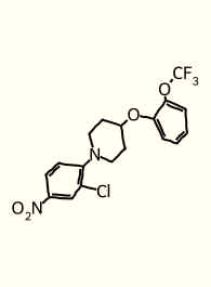 O=[N+]([O-])c1ccc(N2CCC(Oc3ccccc3OC(F)(F)F)CC2)c(Cl)c1